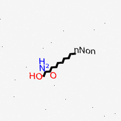 CCCCCCCCCCCCCCCCCC(=O)C(N)CO